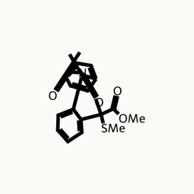 COC(=O)C(C)(SC)c1ccccc1-n1c(=O)c2ccc(cc2)c1=O